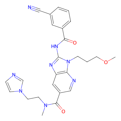 COCCCn1c(NC(=O)c2cccc(C#N)c2)nc2cc(C(=O)N(C)CCn3ccnc3)cnc21